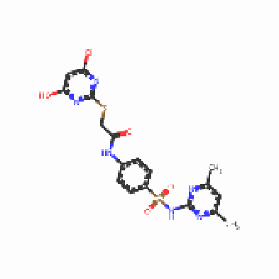 Cc1cc(C)nc(NS(=O)(=O)c2ccc(NC(=O)CSc3nc(O)cc(O)n3)cc2)n1